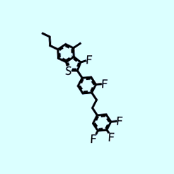 CCCc1cc(C)c2c(F)c(-c3ccc(CCc4cc(F)c(F)c(F)c4)c(F)c3)sc2c1